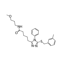 COCCCNC(=O)CCCCc1nnc(SCc2cccc(C)c2)n1-c1ccccc1